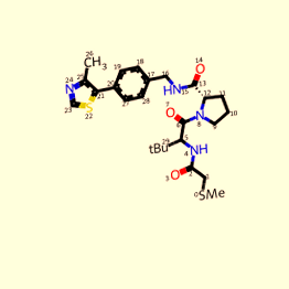 CSCC(=O)NC(C(=O)N1CCC[C@H]1C(=O)NCc1ccc(-c2scnc2C)cc1)C(C)(C)C